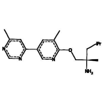 Cc1cc(-c2cnc(OC[C@@](C)(N)CC(C)C)c(C)c2)ncn1